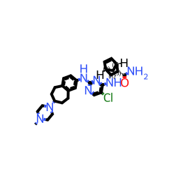 CN1CCN(C2CCc3ccc(Nc4ncc(Cl)c(N[C@H]5[C@@H](C(N)=O)[C@@H]6C=C[C@H]5C6)n4)cc3CC2)CC1